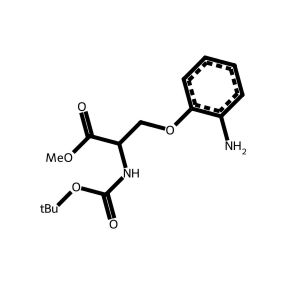 COC(=O)C(COc1ccccc1N)NC(=O)OC(C)(C)C